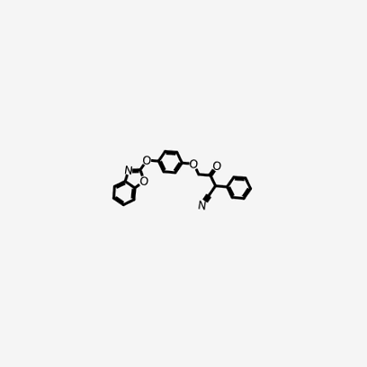 N#CC(C(=O)COc1ccc(Oc2nc3ccccc3o2)cc1)c1ccccc1